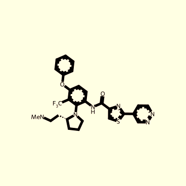 CNCC[C@H]1CCCN1c1c(NC(=O)c2csc(-c3ccnnc3)n2)ccc(Oc2ccccc2)c1C(F)(F)F